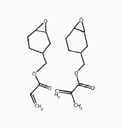 C=C(C)C(=O)OCC1CCC2OC2C1.C=CC(=O)OCC1CCC2OC2C1